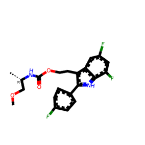 COC[C@H](C)NC(=O)OCCc1c(-c2ccc(F)cc2)[nH]c2c(F)cc(F)cc12